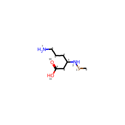 CSNC(CCCN)CC(=O)O